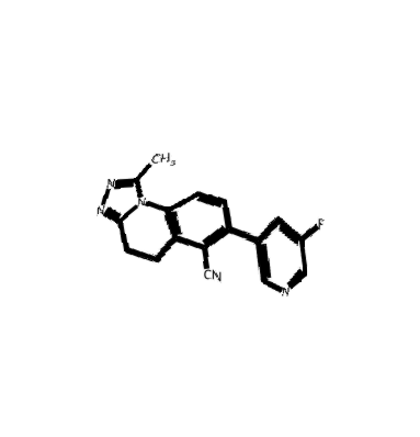 Cc1nnc2n1-c1ccc(-c3cncc(F)c3)c(C#N)c1CC2